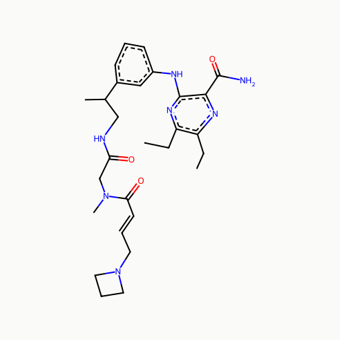 CCc1nc(Nc2cccc(C(C)CNC(=O)CN(C)C(=O)/C=C/CN3CCC3)c2)c(C(N)=O)nc1CC